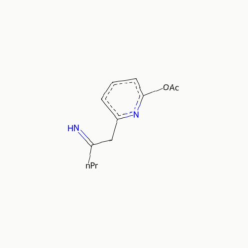 CCCC(=N)Cc1cccc(OC(C)=O)n1